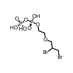 O=P(O)(O)OP(=O)(O)OCCOCC(Br)CBr